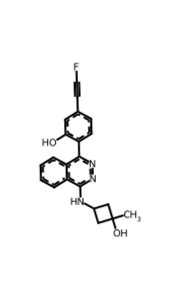 CC1(O)CC(Nc2nnc(-c3ccc(C#CF)cc3O)c3ccccc23)C1